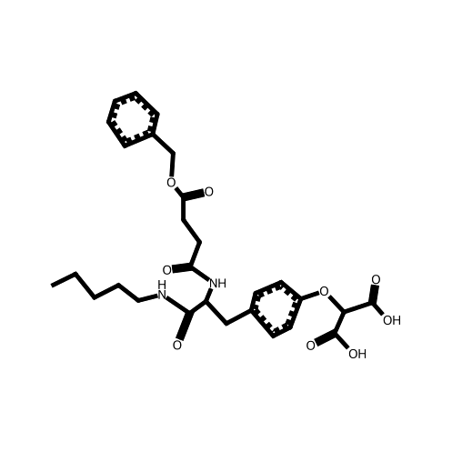 CCCCCNC(=O)C(Cc1ccc(OC(C(=O)O)C(=O)O)cc1)NC(=O)CCC(=O)OCc1ccccc1